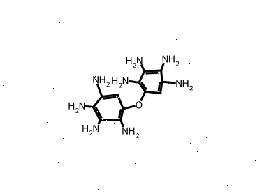 Nc1cc(Oc2cc(N)c(N)c(N)c2N)c(N)c(N)c1N